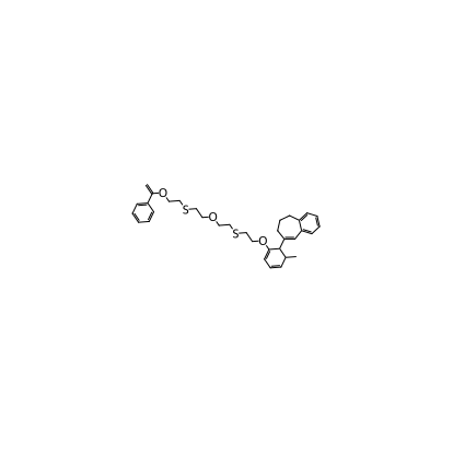 C=C(OCCSCCOCCSCCOC1=CC=CC(C)C1C1=Cc2ccccc2CCC1)c1ccccc1